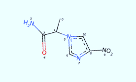 CC(C(N)=O)n1cnc([N+](=O)[O-])c1